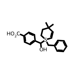 CC1(C)C=CS(Cc2ccccc2)(C(O)c2ccc(C(=O)O)cc2)CC1